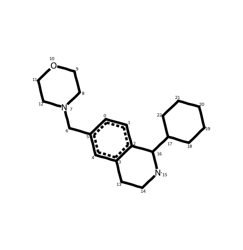 c1cc2c(cc1CN1CCOCC1)CC[N]C2C1CCCCC1